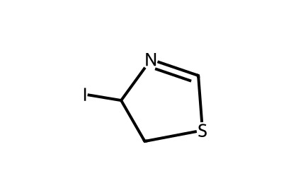 IC1CSC=N1